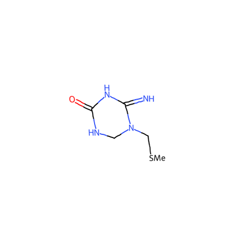 CSCN1CNC(=O)NC1=N